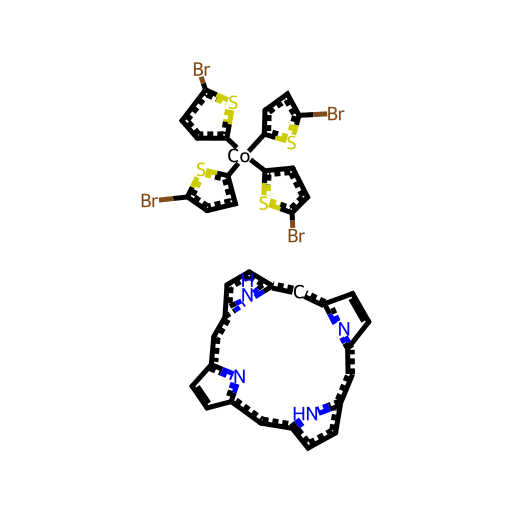 Brc1cc[c]([Co]([c]2ccc(Br)s2)([c]2ccc(Br)s2)[c]2ccc(Br)s2)s1.C1=Cc2cc3ccc(cc4nc(cc5ccc(cc1n2)[nH]5)C=C4)[nH]3